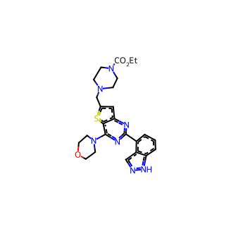 CCOC(=O)N1CCN(Cc2cc3nc(-c4cccc5[nH]ncc45)nc(N4CCOCC4)c3s2)CC1